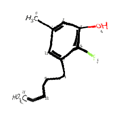 Cc1cc(O)c(F)c(CCCC(=O)O)c1